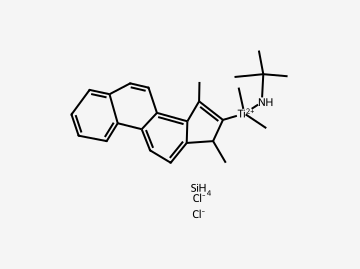 CC1=[C]([Ti+2]([CH3])([CH3])[NH]C(C)(C)C)C(C)c2ccc3c(ccc4ccccc43)c21.[Cl-].[Cl-].[SiH4]